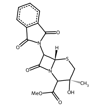 COC(=O)C1N2C(=O)C(N3C(=O)c4ccccc4C3=O)[C@@H]2SC[C@@]1(C)O